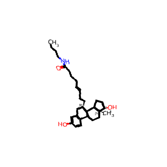 CCCCNC(=O)CCCC=CCC[C@@H]1Cc2cc(O)ccc2C2CC[C@@]3(C)C(CC[C@@H]3O)C21